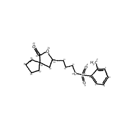 Cc1ccccc1S(=O)(=O)OCCCC1CC2(CCCC2)C(=O)O1